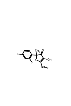 CC(=O)NC1=C(O)C(=O)C(C)(c2ccc(F)cc2F)O1